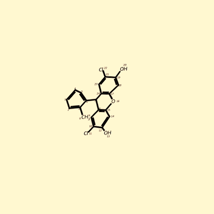 Cc1ccccc1C1c2cc(Cl)c(O)cc2Oc2cc(O)c(Cl)cc21